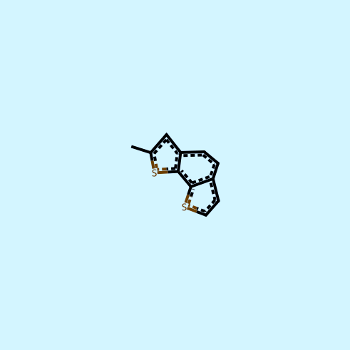 Cc1cc2ccc3ccsc3c2s1